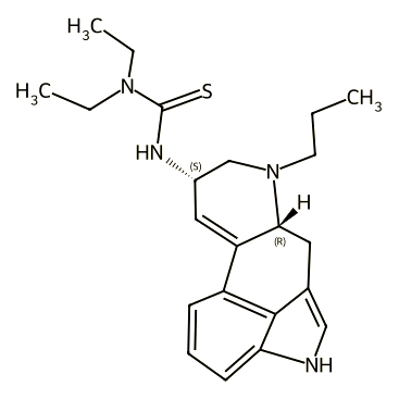 CCCN1C[C@@H](NC(=S)N(CC)CC)C=C2c3cccc4[nH]cc(c34)C[C@H]21